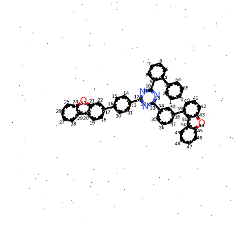 c1ccc(-c2ccccc2-c2nc(-c3ccc(-c4ccc5c(c4)oc4ccccc45)cc3)nc(-c3cccc(-c4cccc5oc6ccccc6c45)c3)n2)cc1